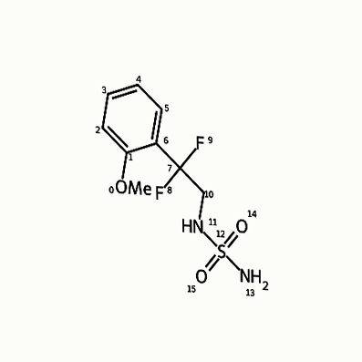 COc1ccccc1C(F)(F)CNS(N)(=O)=O